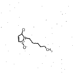 CCCCCCN1C(Cl)C=C[S+]1[O-]